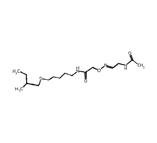 CCC(C)COCCCCCNC(=O)CO/N=C/CNC(C)=O